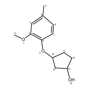 COc1cc(C)ccc1OC1CCC(O)C1